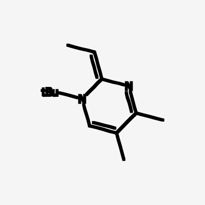 C/C=C1/N=C(C)C(C)=CN1C(C)(C)C